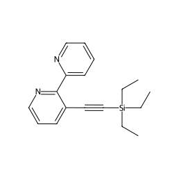 CC[Si](C#Cc1cccnc1-c1ccccn1)(CC)CC